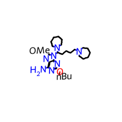 CCCCOc1nc(N)c2nc(OC)n(C(CCCCN3CCCCCC3)N3CCCCCC3)c2n1